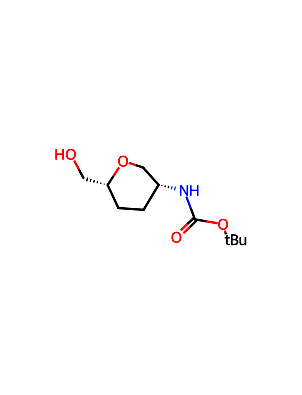 CC(C)(C)OC(=O)N[C@@H]1CC[C@H](CO)OC1